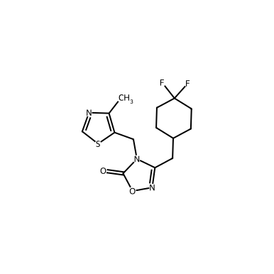 Cc1ncsc1Cn1c(CC2CCC(F)(F)CC2)noc1=O